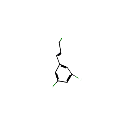 Clc1cc(Cl)cc(/C=C/CBr)c1